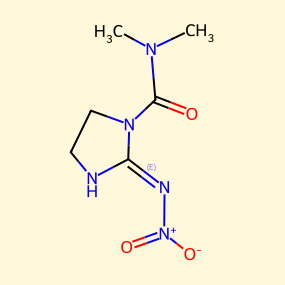 CN(C)C(=O)N1CCN/C1=N\[N+](=O)[O-]